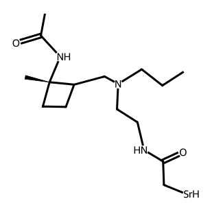 CCCN(CCNC(=O)[CH2][SrH])CC1CC[C@]1(C)NC(C)=O